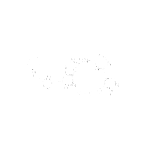 C[C@H]1CCOc2c(cnn2C)-c2nccc(n2)Nc2cc3c(cn2)c(-c2ccc(CN4CCCC4)n2C)nn31